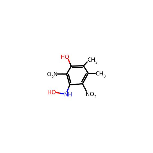 Cc1c(C)c([N+](=O)[O-])c(NO)c([N+](=O)[O-])c1O